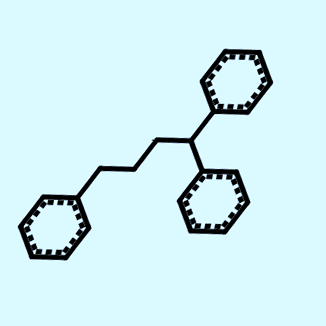 [CH](CCc1ccccc1)C(c1ccccc1)c1ccccc1